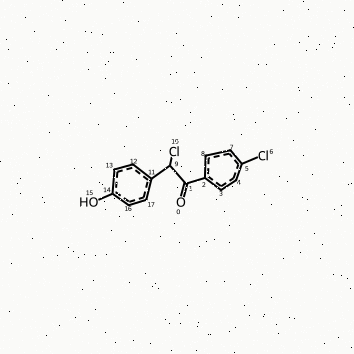 O=C(c1ccc(Cl)cc1)C(Cl)c1ccc(O)cc1